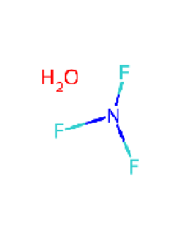 FN(F)F.O